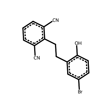 N#Cc1cccc(C#N)c1CCc1cc(Br)ccc1O